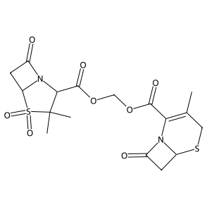 CC1=C(C(=O)OCOC(=O)C2N3C(=O)CC3S(=O)(=O)C2(C)C)N2C(=O)CC2SC1